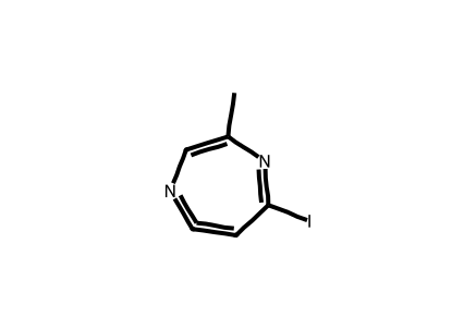 CC1=CN=C=CC(I)=N1